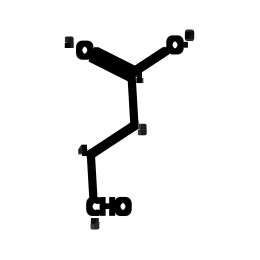 [O]C(=O)CCC=O